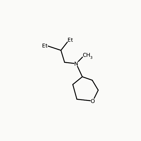 CCC(CC)CN(C)C1CCOCC1